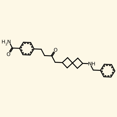 NC(=O)c1ccc(CCC(=O)CC2CC3(C2)CC(NCc2ccccc2)C3)cc1